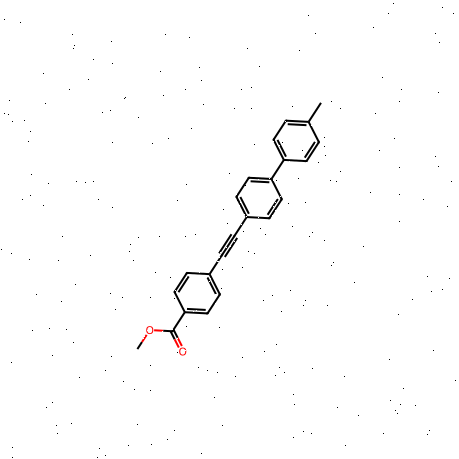 COC(=O)c1ccc(C#Cc2ccc(-c3ccc(C)cc3)cc2)cc1